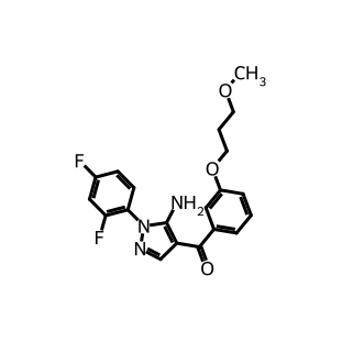 COCCCOc1cccc(C(=O)c2cnn(-c3ccc(F)cc3F)c2N)c1